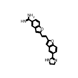 N=C(N)c1ccc2oc(/C=C/c3cc4cc(C5=NCCN5)ccc4o3)cc2c1